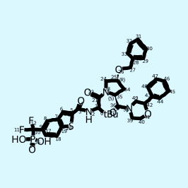 CC(C)(C)C(NC(=O)c1cc2cc(C(F)(F)P(=O)(O)O)ccc2s1)C(=O)N1C[C@H](OCc2ccccc2)C[C@H]1C(=O)N1CCOC(c2ccccc2)C1